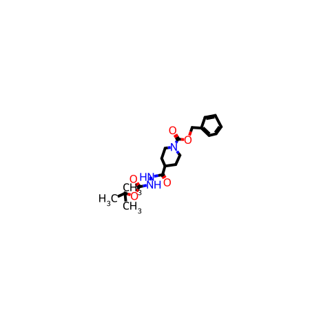 CC(C)(C)OC(=O)NNC(=O)C1CCN(C(=O)OCc2ccccc2)CC1